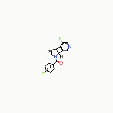 C[C@H]1CN(C(=O)C23CCC(F)(CC2)CC3)[C@@H]2c3cncc(F)c3C21